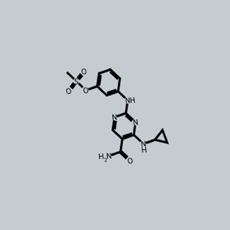 CS(=O)(=O)Oc1cccc(Nc2ncc(C(N)=O)c(NC3CC3)n2)c1